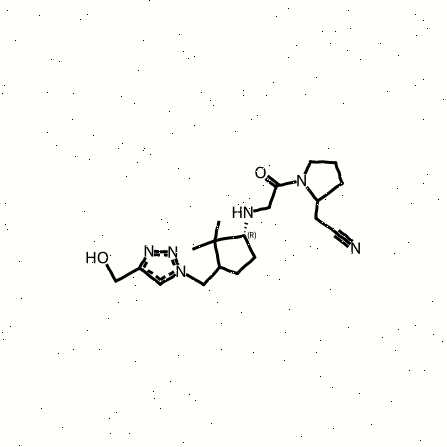 CC1(C)C(Cn2cc(CO)nn2)CC[C@H]1NCC(=O)N1CCCC1CC#N